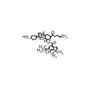 C=CCCC(=O)C1=CCCC(C)(C)C1.CC(=O)c1cc(C(C)(C)C)cc2c1C=CC2(C)C.CC(C)[C@H]1CC[C@@H](CO)CC1